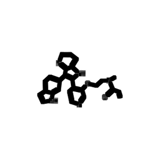 C=CC(=O)N(C)CCOc1cnccc1-c1[nH]c2cccnc2c1-c1ccc2cc[nH]c2c1